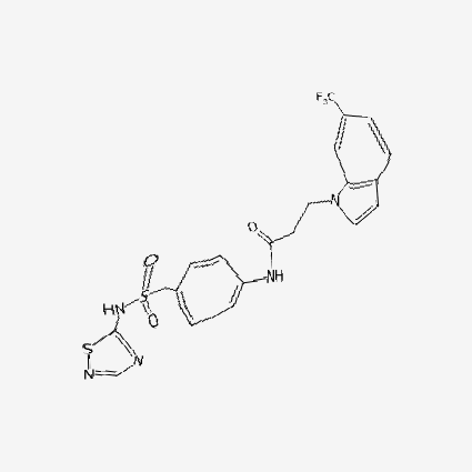 O=C(CCn1ccc2ccc(C(F)(F)F)cc21)Nc1ccc(S(=O)(=O)Nc2ncns2)cc1